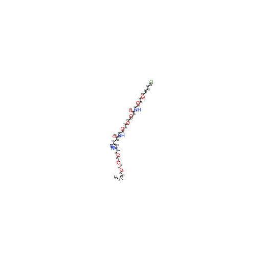 CCCOCCOCCOCCn1cc(CCC(=O)NCCOCCOCCOCC(=O)NCCOCCOCCCCCCCl)nn1